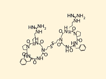 N=C(N)NCCC[C@H]1NC(=O)CN(CCSSCCN2CC(=O)N[C@H](CCCNC(=N)N)C(=O)N3CCCC3C(=O)N[C@H](Cc3ccccc3)C(=O)NCC2=O)C(=O)CNC(=O)[C@@H](Cc2ccccc2)NC(=O)C2CCCN2C1=O